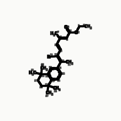 CCOC(=O)C=C(C)C=CC(Br)=C(C)c1ccc2c(c1)C(C)(C)CCC2(C)C